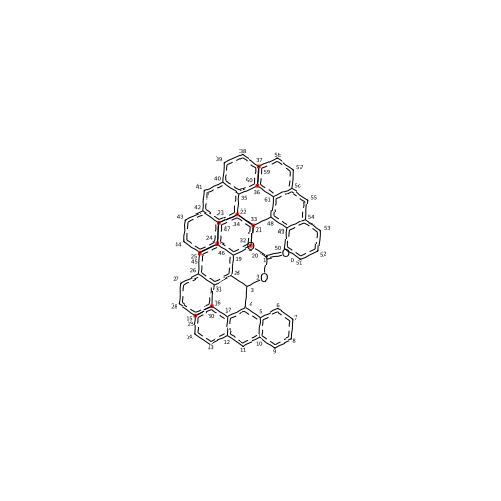 O=C(OC(c1c2ccccc2cc2ccccc12)c1c2ccccc2cc2ccccc12)OC(c1c2ccccc2cc2ccccc12)c1c2ccccc2cc2ccccc12